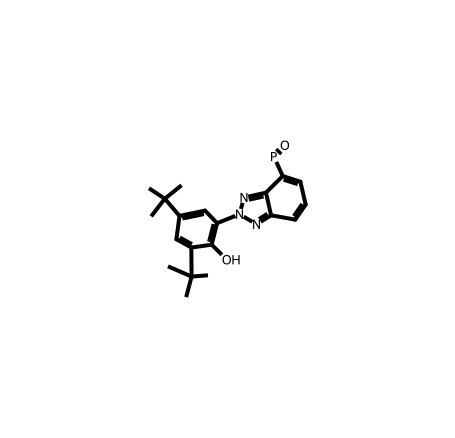 CC(C)(C)c1cc(-n2nc3cccc(P=O)c3n2)c(O)c(C(C)(C)C)c1